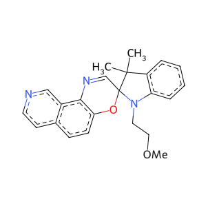 COCCN1c2ccccc2C(C)(C)C12C=Nc1c(ccc3ccncc13)O2